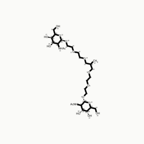 CC(=O)NC1[C@H](OCCOCCOCC(C)COCCOCCO[C@@H]2OC(CO)[C@H](O)[C@H](O)C2NC(C)=O)OC(CO)[C@H](O)[C@@H]1O